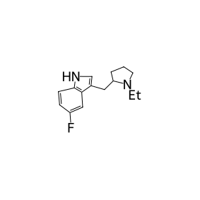 CCN1CCCC1Cc1c[nH]c2ccc(F)cc12